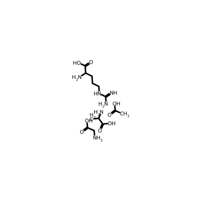 CC(=O)O.CC(N)C(=O)O.N=C(N)NCCCC(N)C(=O)O.NCC(=O)O